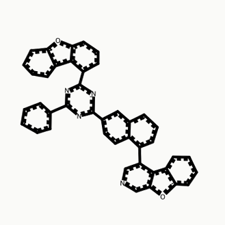 c1ccc(-c2nc(-c3ccc4c(-c5cncc6oc7ccccc7c56)cccc4c3)nc(-c3cccc4oc5ccccc5c34)n2)cc1